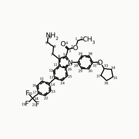 CCOC(=O)c1c(CCCN)c2cc(-c3ccc(C(F)(F)F)cc3)ccc2n1-c1ccc(OC2CCCC2)cc1